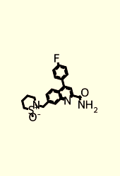 NC(=O)c1cc(-c2ccc(F)cc2)c2ccc(CN3CCCC[S+]3[O-])cc2n1